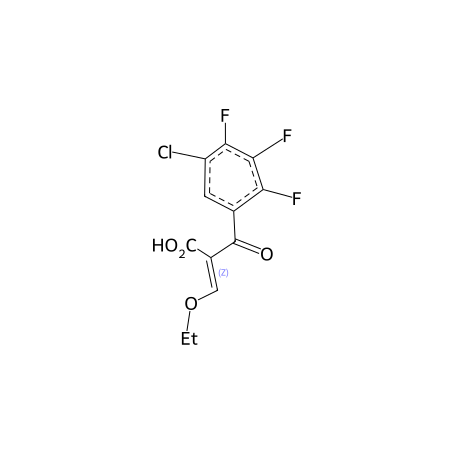 CCO/C=C(\C(=O)O)C(=O)c1cc(Cl)c(F)c(F)c1F